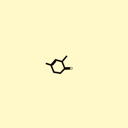 CC1=CC(C)C(=O)CC1